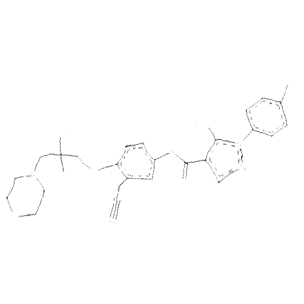 Cc1c(C(=O)Nc2ccc(OCC(C)(C)CN3CCOCC3)c(C#N)c2)cnn1-c1ccc(Cl)cc1